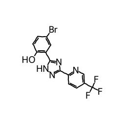 Oc1ccc(Br)cc1-c1nc(-c2ccc(C(F)(F)F)cn2)n[nH]1